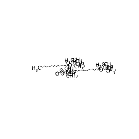 CC1(C)CC(OC(=O)c2ccccc2)CC(C)(C)N1.CCCCCCCCCCCCCCCCCC(=O)OC1CC(C)(C)N(C)C(C)(C)C1.CCCCCCCCCCCCCCCCCC(=O)OC1CC(C)(C)NC(C)(C)C1